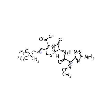 CO/N=C(\C(=O)NC1C(=O)N2C(C(=O)[O-])=C(/C=C/C[N+](C)(C)C)CS[C@H]12)c1nsc(N)n1